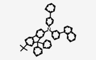 CC(C)(C)c1ccc2c(c1)C(c1ccccc1)(c1ccccc1)c1cc(N(c3ccc(-c4ccccc4)cc3)c3cccc(-c4cccc5ccccc45)c3)ccc1-2